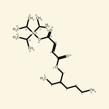 CCCCC(CC)COC(=O)C=CC(=O)O[Si](C(C)C)(C(C)C)C(C)C